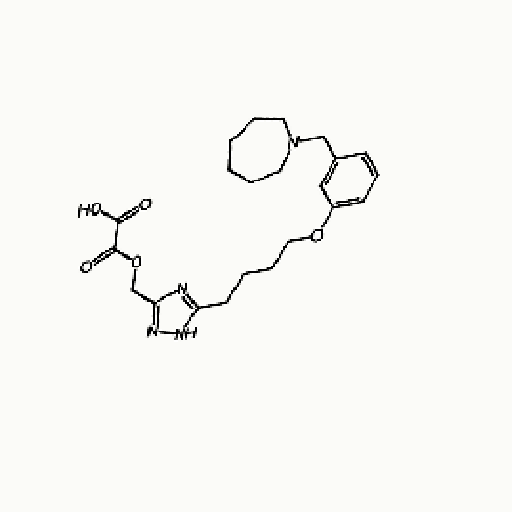 O=C(O)C(=O)OCc1n[nH]c(CCCCOc2cccc(CN3CCCCCC3)c2)n1